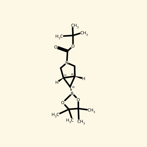 CC(C)(C)OC(=O)N1C[C@@H]2[C@H](C1)[C@@H]2B1OC(C)(C)C(C)(C)O1